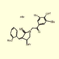 Br.CCCC1CN(CC(=O)c2cc(C(C)(C)C)c(O)c(C(C)(C)C)c2)C(=N)/C1=C\c1ccccc1OC